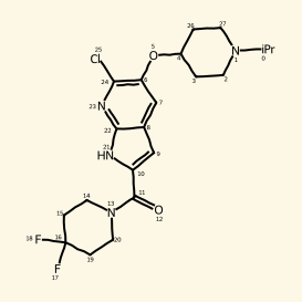 CC(C)N1CCC(Oc2cc3cc(C(=O)N4CCC(F)(F)CC4)[nH]c3nc2Cl)CC1